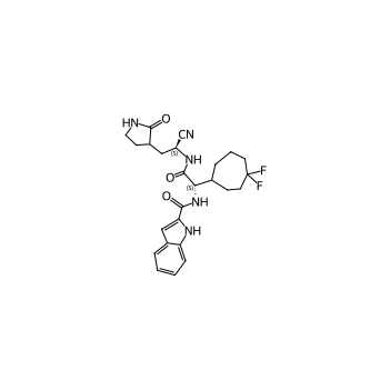 N#C[C@H](CC1CCNC1=O)NC(=O)[C@@H](NC(=O)c1cc2ccccc2[nH]1)C1CCCC(F)(F)CC1